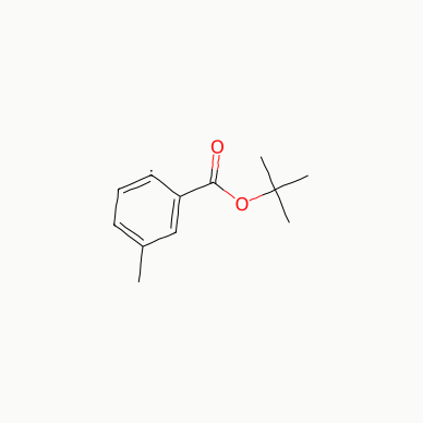 Cc1cc[c]c(C(=O)OC(C)(C)C)c1